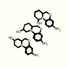 Nc1ccc2c(c1)OCC1CC(O)CCN21.Nc1ccc2c(c1)OCC1CCC(O)CN21.Nc1ccc2c(c1)OCC1CCCC(O)N21